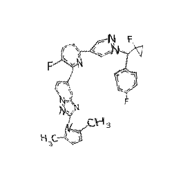 Cc1ccc(C)n1-c1nc2cc(-c3nc(-c4cnn(C(c5ccc(F)cc5)C5(F)CC5)c4)ccc3F)ccn2n1